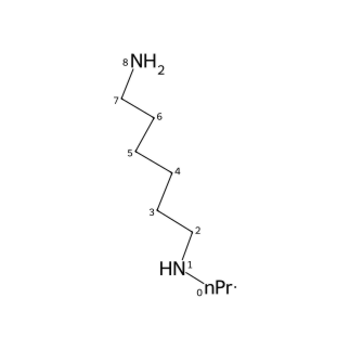 CC[CH]NCCCCCCN